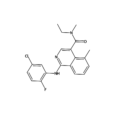 CCN(C)C(=O)c1cnc(Nc2cc(Cl)ccc2F)c2cccc(C)c12